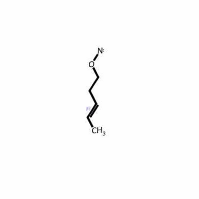 C/C=C/CCO[N]